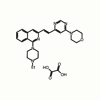 CCN1CCN(c2nc(/C=C/c3cc(N4CCOCC4)ncn3)cc3ccccc23)CC1.O=C(O)C(=O)O